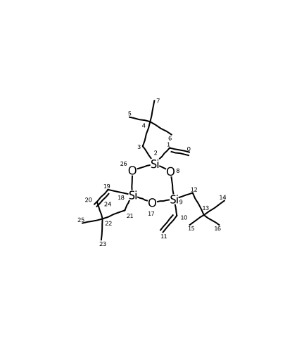 C=C[Si]1(CC(C)(C)C)O[Si](C=C)(CC(C)(C)C)O[Si](C=C)(CC(C)(C)C)O1